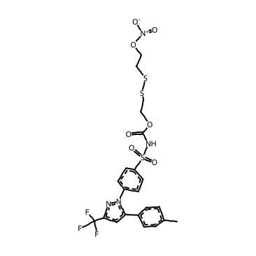 Cc1ccc(-c2cc(C(F)(F)F)nn2-c2ccc(S(=O)(=O)NC(=O)OCCSSCCO[N+](=O)[O-])cc2)cc1